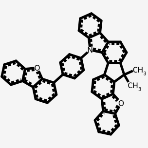 CC1(C)c2ccc3c4ccccc4n(-c4ccc(-c5cccc6c5oc5ccccc56)cc4)c3c2-c2ccc3c(oc4ccccc43)c21